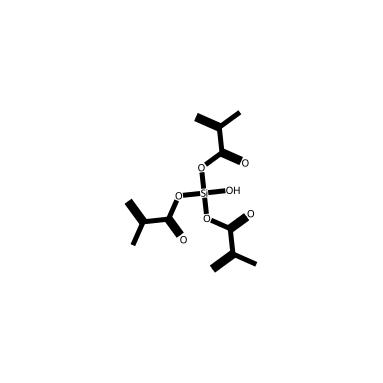 C=C(C)C(=O)O[Si](O)(OC(=O)C(=C)C)OC(=O)C(=C)C